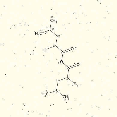 CC(C)CC(F)C(=O)OC(=O)C(F)CC(C)C